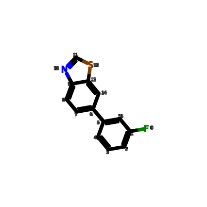 Fc1cc[c]c(-c2ccc3ncsc3c2)c1